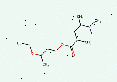 CCOC(C)CCOC(=O)C(C)CC(C)C(C)I